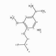 COc1cc(C(C)N)ccc1OCC(F)F.Cl